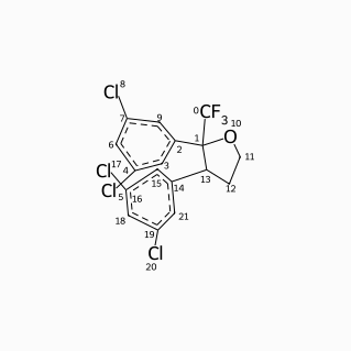 FC(F)(F)C1(c2cc(Cl)cc(Cl)c2)OCCC1c1cc(Cl)cc(Cl)c1